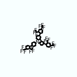 FC(F)(F)c1ccc(-c2ccc(-n3c4ccc(-c5ccc(C(F)(F)F)cc5C(F)(F)F)cc4c4cc(-c5ccc(C(F)(F)F)cc5C(F)(F)F)ccc43)cc2)c(C(F)(F)F)c1